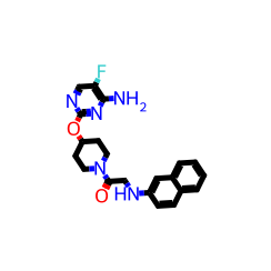 Nc1nc(OC2CCN(C(=O)CNc3ccc4ccccc4c3)CC2)ncc1F